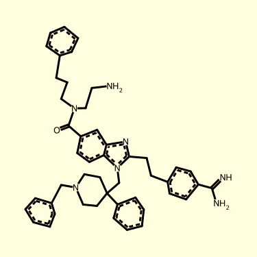 N=C(N)c1ccc(CCc2nc3cc(C(=O)N(CCN)CCCc4ccccc4)ccc3n2CC2(c3ccccc3)CCN(Cc3ccccc3)CC2)cc1